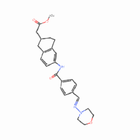 CCCCOC(=O)CC1CCc2cc(NC(=O)c3ccc(C=NN4CCOCC4)cc3)ccc2C1